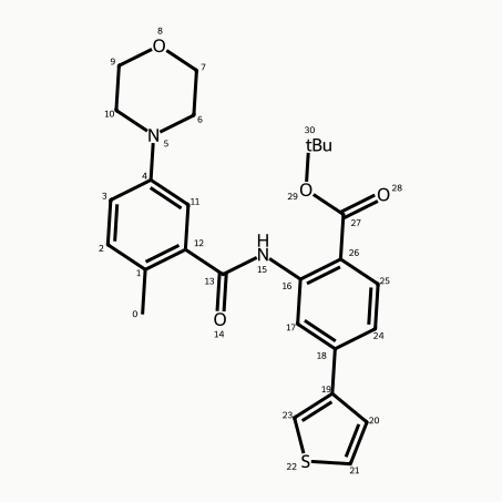 Cc1ccc(N2CCOCC2)cc1C(=O)Nc1cc(-c2ccsc2)ccc1C(=O)OC(C)(C)C